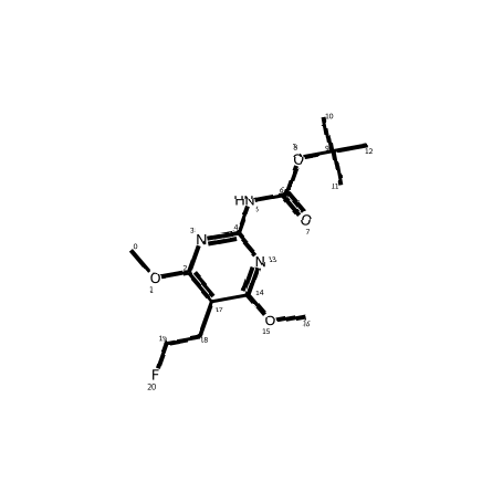 COc1nc(NC(=O)OC(C)(C)C)nc(OC)c1CCF